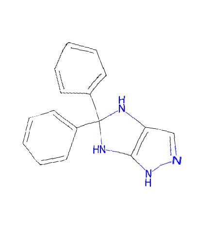 c1ccc(C2(c3ccccc3)Nc3cn[nH]c3N2)cc1